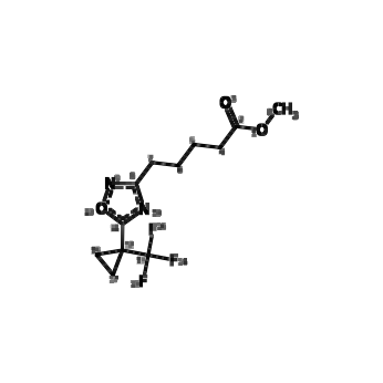 COC(=O)CCCCc1noc(C2(C(F)(F)F)CC2)n1